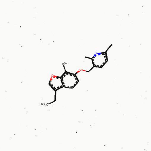 CCCc1c(OCc2ccc(C)nc2C)ccc2c(CC(=O)O)coc12